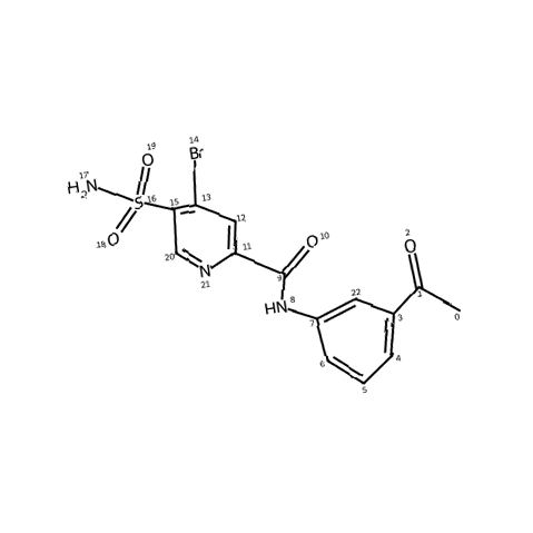 CC(=O)c1cccc(NC(=O)c2cc(Br)c(S(N)(=O)=O)cn2)c1